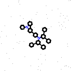 c1ccc(-c2cc(-c3ccccc3)cc(N(c3ccc(-c4ccc5c(c4)c4ccccc4n5-c4ccccc4)cc3)c3cc(-c4ccccc4)cc(-c4ccccc4)c3)c2)cc1